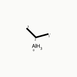 [AlH3].[CH2]CC